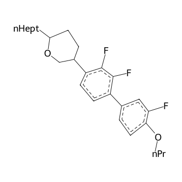 CCCCCCCC1CCC(c2ccc(-c3ccc(OCCC)c(F)c3)c(F)c2F)CO1